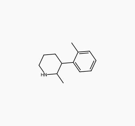 Cc1ccccc1C1CCCNC1C